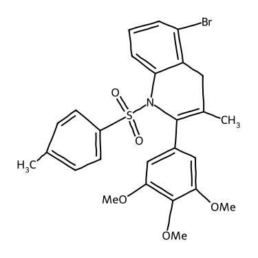 COc1cc(C2=C(C)Cc3c(Br)cccc3N2S(=O)(=O)c2ccc(C)cc2)cc(OC)c1OC